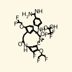 CN1Cc2cc(cc(F)c2OC(CF)CF)NC(=O)CCc2cc(ccc2OCC(F)F)[C@@H](Nc2ccc(C(=N)N)cc2)C1=O.O=C(O)C(F)(F)F